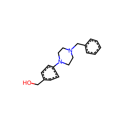 OCc1ccc(N2CCN(Cc3ccccc3)CC2)cc1